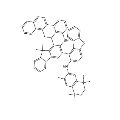 Cc1cc2c(cc1Nc1ccc3sc4ccccc4c3c1-c1cc3c(c4c1Bc1cccc5c1C4Cc1c-5ccc4ccccc14)C(C)(C)c1ccccc1-3)C(C)(C)CCC2(C)C